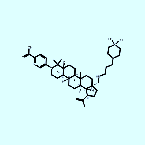 C=C(C)[C@@H]1CC[C@]2(CNCCCN3CCS(O)(O)CC3)CC[C@]3(C)[C@H](CC[C@@H]4[C@@]5(C)CCN(c6ccc(C(=O)O)nc6)C(C)(C)[C@@H]5CC[C@]43C)[C@@H]12